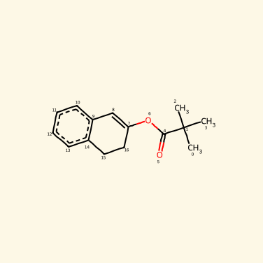 CC(C)(C)C(=O)OC1=Cc2ccccc2CC1